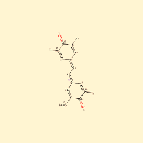 CSC1=C/C(=C/C=C2C=C(C)C(=O)C(C)=C2)C=C(C)C1=O